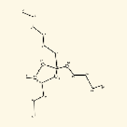 CCCCCCC(OCCCC)(OCCCC)OOC